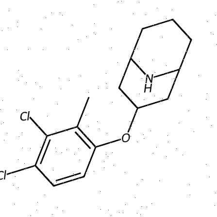 Cc1c(OC2CC3CCCC(C2)N3)ccc(Cl)c1Cl